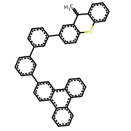 C=C1c2ccccc2Sc2ccc(-c3cccc(-c4cccc(-c5ccc6c7ccccc7c7ccccc7c6c5)c4)c3)cc21